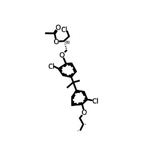 [CH2][CH]COc1ccc(C(C)(C)c2ccc(OC[C@@H](CCl)OC(C)=O)c(Cl)c2)cc1Cl